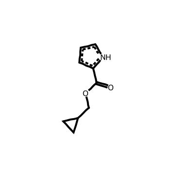 O=C(OCC1CC1)c1ccc[nH]1